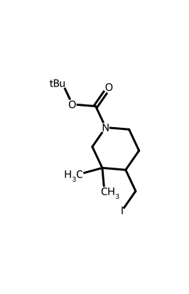 CC(C)(C)OC(=O)N1CCC(CI)C(C)(C)C1